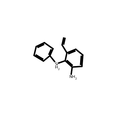 C=Cc1cccc(N)c1[SiH2]c1ccccc1